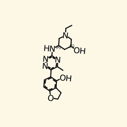 CCN1C[C@@H](O)C[C@@H](Nc2nnc(-c3ccc4c(c3O)CCO4)c(C)n2)C1